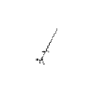 CCCCCCCCCCCCCCCC(=O)NCCCCNC(=N)N